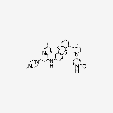 Cc1ccc(C(CCN2CCN(C)CC2)Nc2ccc3c(c2)Sc2cccc(C4CN(c5cc[nH]c(=O)c5)CCO4)c2S3)nc1